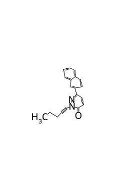 CCCC#Cn1nc(-c2ccc3ccccc3c2)ccc1=O